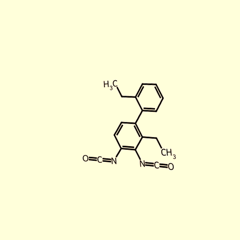 CCc1ccccc1-c1ccc(N=C=O)c(N=C=O)c1CC